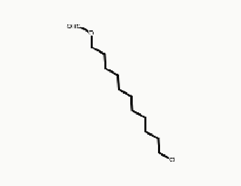 O=[C]OCCCCCCCCCCCCl